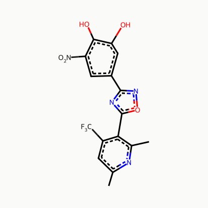 Cc1cc(C(F)(F)F)c(-c2nc(-c3cc(O)c(O)c([N+](=O)[O-])c3)no2)c(C)n1